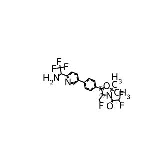 CC1(C)O[C@H](c2ccc(-c3ccc(C(N)C(F)(F)F)nc3)cc2)[C@H](CF)N1C(=O)C(F)F